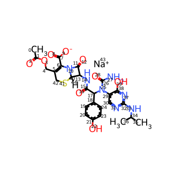 CC(=O)OCC1=C(C(=O)[O-])N2C(=O)C(NC(=O)C(c3ccc(O)cc3)N(C(N)=O)c3cnc(NC(C)C)nc3O)[C@@H]2SC1.[Na+]